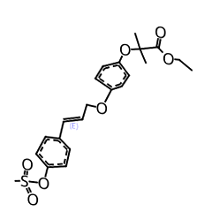 CCOC(=O)C(C)(C)Oc1ccc(OC/C=C/c2ccc(OS(C)(=O)=O)cc2)cc1